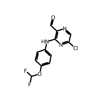 O=Cc1ncc(Cl)nc1Nc1ccc(OC(F)F)cc1